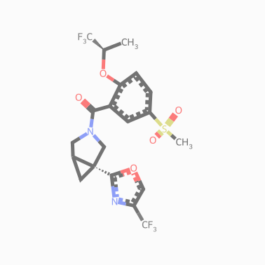 C[C@@H](Oc1ccc(S(C)(=O)=O)cc1C(=O)N1CC2C[C@]2(c2nc(C(F)(F)F)co2)C1)C(F)(F)F